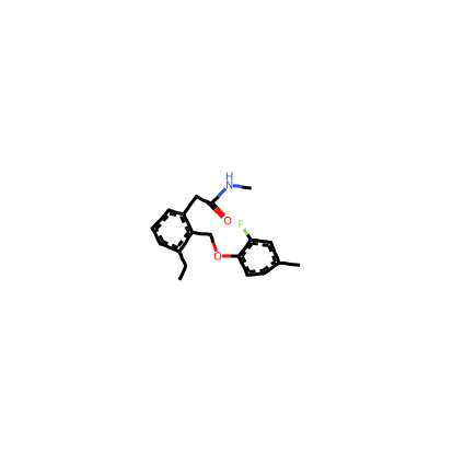 CCc1cccc(CC(=O)NC)c1COc1ccc(C)cc1F